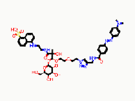 CN(C)c1ccc(/N=N/c2ccc(C(=O)NCc3cn(CCOCCO[C@H](O[C@@H]4O[C@H](CO)[C@H](O)[C@H](O)[C@H]4O)C(C)(O)C(=O)NCCNc4cccc5c(S(=O)(=O)O)cccc45)nn3)cc2)cc1